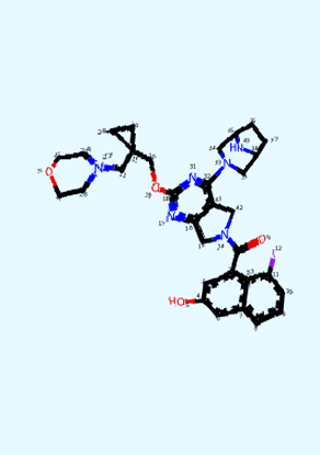 O=C(c1cc(O)cc2cccc(I)c12)N1Cc2nc(OCC3(CN4CCOCC4)CC3)nc(N3CC4CCC(C3)N4)c2C1